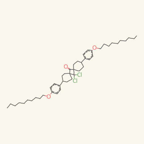 CCCCCCCCCCOc1ccc(C2CCC3(CC2)C(=O)C2(CCC(c4ccc(OCCCCCCCCCC)cc4)CC2)C3(Cl)Cl)cc1